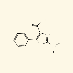 [CH3][SnH]([CH3])[c]1nc(C(=O)O)c(-c2ccccc2)s1